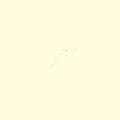 O=S(=O)(c1ccc(-c2ccc(N3CC(O)C3)nc2)cc1)N1CC[C@@H](Nc2ccc(C(F)(F)F)cn2)[C@@H](O)C1